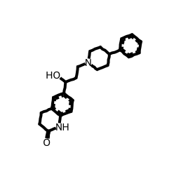 O=C1CCc2cc(C(O)CCN3CCC(c4ccccc4)CC3)ccc2N1